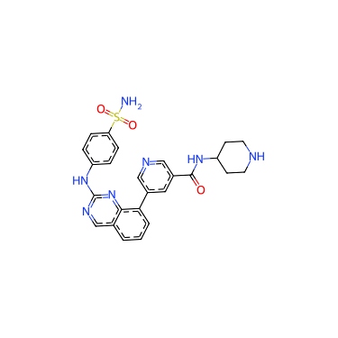 NS(=O)(=O)c1ccc(Nc2ncc3cccc(-c4cncc(C(=O)NC5CCNCC5)c4)c3n2)cc1